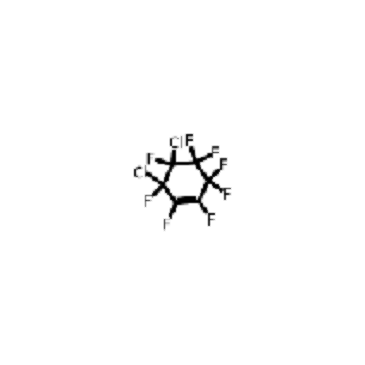 FC1=C(F)C(F)(Cl)C(F)(Cl)C(F)(F)C1(F)F